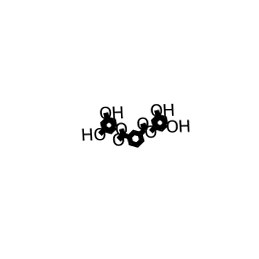 O=C(Oc1cc(O)cc(O)c1)C1CCCC(C(=O)Oc2cc(O)cc(O)c2)C1